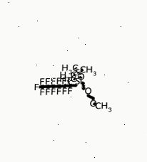 COCCOCC[Si](C)(CC(F)(F)C(F)(F)C(F)(F)C(F)(F)C(F)(F)C(F)(F)F)O[Si](C)(C)C